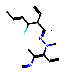 C=C/C(=C(/C)N=C)N(C)/N=C/C(C=C)C(F)/C=C/C